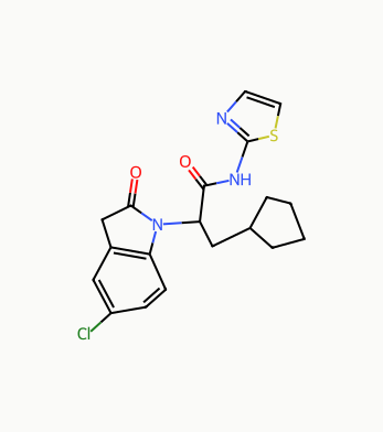 O=C(Nc1nccs1)C(CC1CCCC1)N1C(=O)Cc2cc(Cl)ccc21